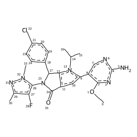 COc1nc(N)ncc1-c1cc2c(n1C(C)C)C(c1ccc(Cl)cc1)N(c1c(F)c(C)nn1C)C2=O